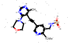 COc1ncc(C#Cc2c(C)ncnc2N2CCOCC2)cc1CN[SH](=O)=O